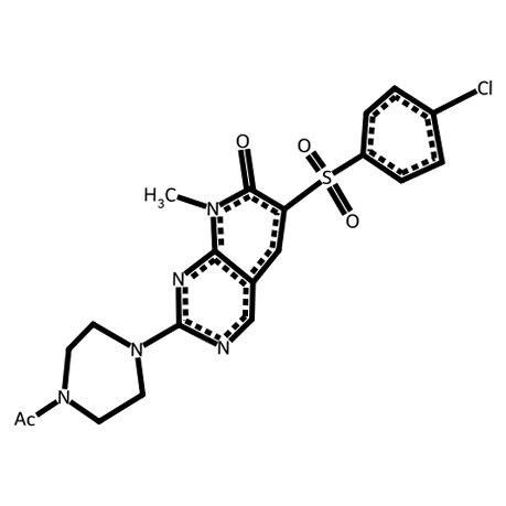 CC(=O)N1CCN(c2ncc3cc(S(=O)(=O)c4ccc(Cl)cc4)c(=O)n(C)c3n2)CC1